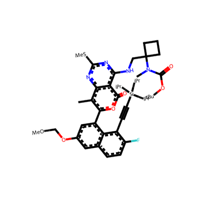 COCOc1cc(-c2oc(=O)c3c(NCC4(N(C)C(=O)OC(C)(C)C)CCC4)nc(SC)nc3c2C)c2c(C#C[Si](C(C)C)(C(C)C)C(C)C)c(F)ccc2c1